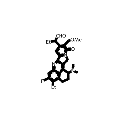 CCc1c(F)cc2nc3c(c4c2c1CCC4N(C)C)Cn1c-3cc(C(C=O)CC)c(COC)c1=O